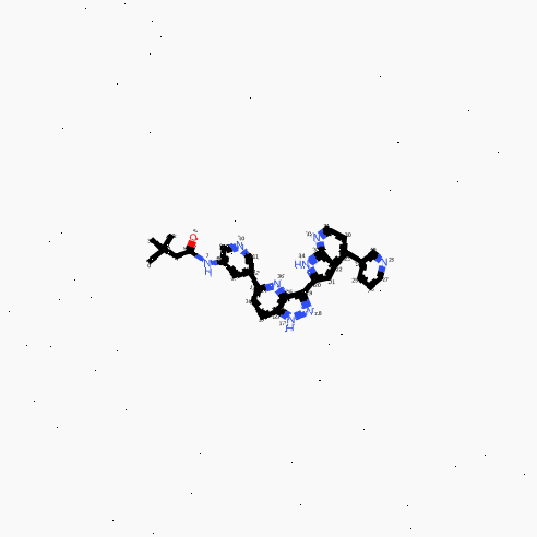 CC(C)(C)CC(=O)Nc1cncc(-c2ccc3[nH]nc(-c4cc5c(-c6cccnc6)ccnc5[nH]4)c3n2)c1